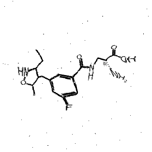 CCC1NOC(C)C1c1cc(F)cc(C(=O)NC[C@@H](N)C(=O)O)c1